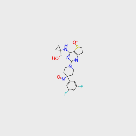 O=NC1(c2cc(F)cc(F)c2)CCN(c2nc3c(c(NC4(CO)CC4)n2)[S+]([O-])CC3)CC1